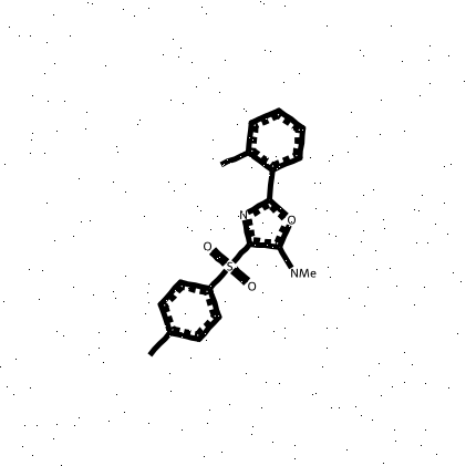 CNc1oc(-c2ccccc2C)nc1S(=O)(=O)c1ccc(C)cc1